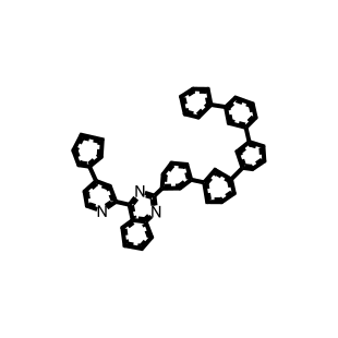 c1ccc(-c2cccc(-c3cccc(-c4cccc(-c5cccc(-c6nc(-c7cc(-c8ccccc8)ccn7)c7ccccc7n6)c5)c4)c3)c2)cc1